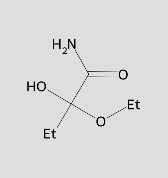 CCOC(O)(CC)C(N)=O